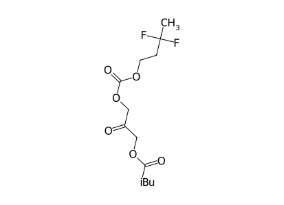 CCC(C)C(=O)OCC(=O)COC(=O)OCCC(C)(F)F